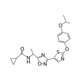 CC(C)Oc1ccc(Oc2ncc(-c3noc(C(C)NC(=O)C4CC4)n3)s2)cc1